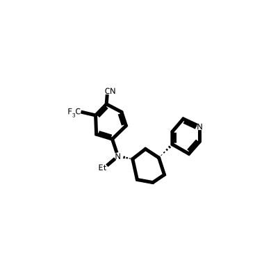 CCN(c1ccc(C#N)c(C(F)(F)F)c1)[C@H]1CCC[C@@H](c2ccncc2)C1